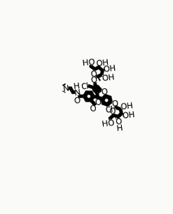 CN(C)CCNC(=O)c1ccc2c(c1)C(=O)OC21c2cc(Cl)c(O[C@H]3OC(CO)[C@@H](O)[C@@H](O)C3O)cc2Oc2cc(O[C@]3(C)OC(CO)[C@H](O)[C@H](O)C3O)c(Cl)cc21